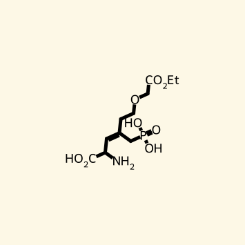 CCOC(=O)COCCC(=CC(N)C(=O)O)CP(=O)(O)O